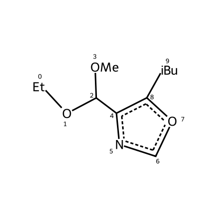 CCOC(OC)c1ncoc1C(C)CC